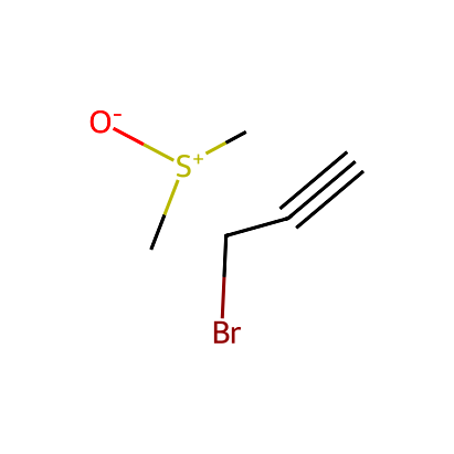 C#CCBr.C[S+](C)[O-]